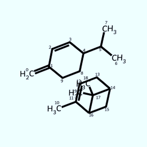 C=C1C=CC(C(C)C)CC1.CC1=CCC2CC1C2(C)C